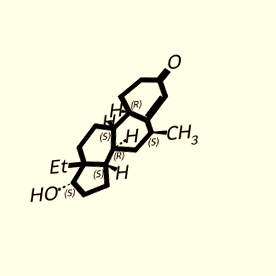 CCC12CC[C@H]3[C@@H](C[C@H](C)C4=CC(=O)CC[C@@H]43)[C@@H]1CC[C@@H]2O